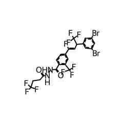 O=C(CCC(F)(F)F)NNC(=O)c1ccc(C(F)=CC(c2cc(Br)cc(Br)c2)C(F)(F)F)cc1C(F)(F)F